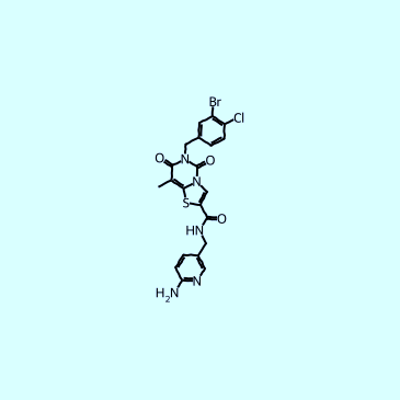 Cc1c(=O)n(Cc2ccc(Cl)c(Br)c2)c(=O)n2cc(C(=O)NCc3ccc(N)nc3)sc12